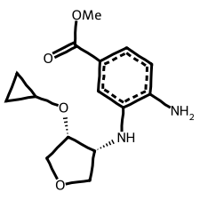 COC(=O)c1ccc(N)c(N[C@@H]2COC[C@@H]2OC2CC2)c1